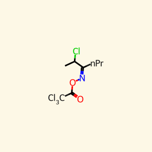 CCCC(=NOC(=O)C(Cl)(Cl)Cl)C(C)Cl